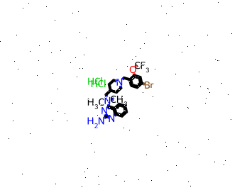 C[N+](C)(CC1CCN(Cc2ccc(Br)cc2OC(F)(F)F)CC1)c1nc(N)nc2ccccc12.Cl.Cl